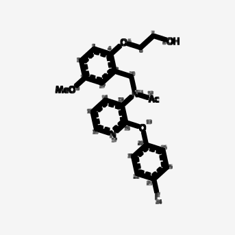 COc1ccc(OCCO)c(CN(C(C)=O)c2cccnc2Oc2ccc(F)cc2)c1